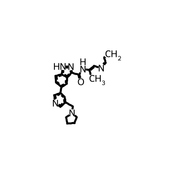 C=C/C=N\C=C(/C)NC(=O)c1n[nH]c2ccc(-c3cncc(CN4CCCC4)c3)cc12